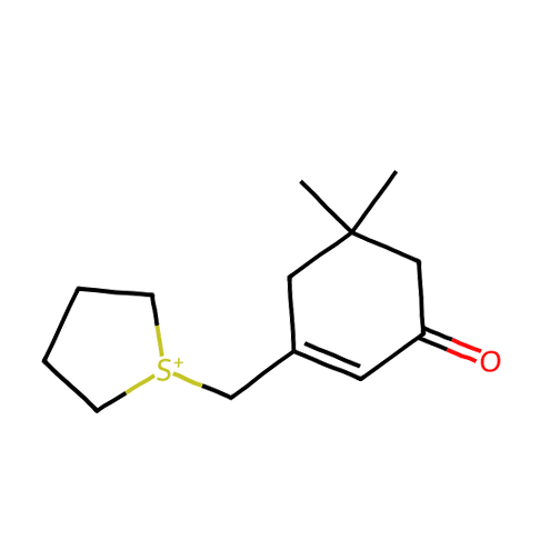 CC1(C)CC(=O)C=C(C[S+]2CCCC2)C1